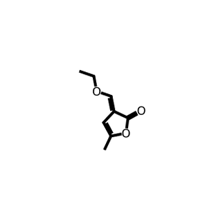 CCO/C=C1\C=C(C)OC1=O